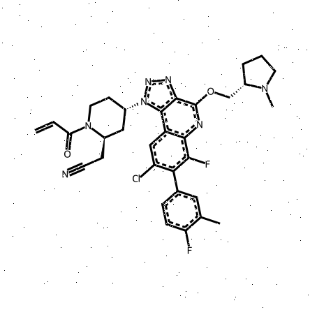 C=CC(=O)N1CC[C@H](n2nnc3c(OC[C@@H]4CCCN4C)nc4c(F)c(-c5ccc(F)c(C)c5)c(Cl)cc4c32)C[C@H]1CC#N